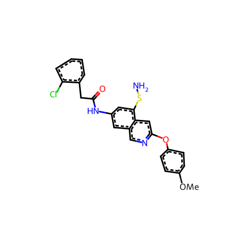 COc1ccc(Oc2cc3c(SN)cc(NC(=O)Cc4ccccc4Cl)cc3cn2)cc1